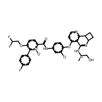 C[C@H](CO)NC1=NC2CCC2c2nccc(Oc3ccc(NC(=O)c4ccc(OCC(F)F)c(-c5ccc(F)cc5)[n+]4[O-])cc3Cl)c21